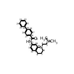 CN(C)CCN1CCCc2ccc(NC(=O)c3ccc(-c4ccccc4)cc3)cc21